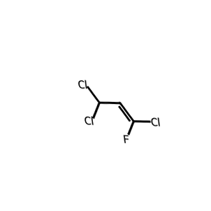 F/C(Cl)=C\C(Cl)Cl